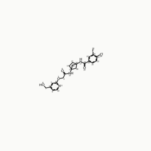 O=C(COc1cc(CO)ccn1)NC12CCC(NC(=O)c3ccc(Cl)c(F)c3)(C1)C2